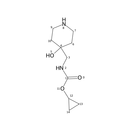 O=C(NCC1(O)CCNCC1)OC1CC1